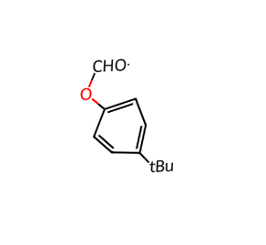 CC(C)(C)c1ccc(O[C]=O)cc1